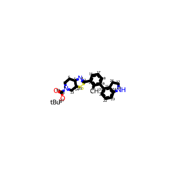 Cc1c(C2=NC3CCN(C(=O)OC(C)(C)C)CC3S2)cccc1-c1cccc2c1CCN2